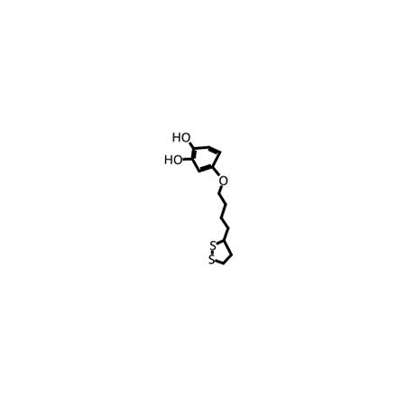 Oc1ccc(OCCCCC2CCSS2)cc1O